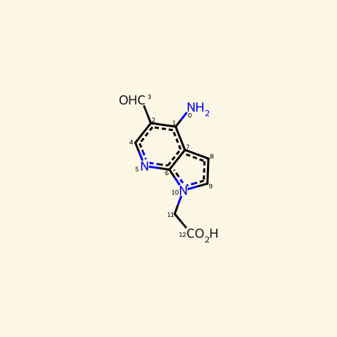 Nc1c(C=O)cnc2c1ccn2CC(=O)O